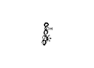 O=C(c1scnc1-c1ccncc1)N1CCC(O)(Cc2ccccc2)CC1